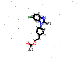 CCC(=O)OCCc1ccc(-n2c(CC)nc3ccc(F)cc32)cc1